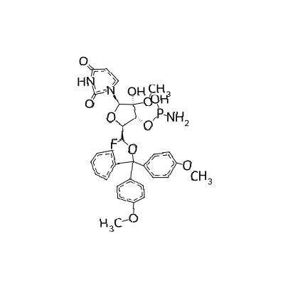 COc1ccc(C(OC(F)[C@H]2O[C@@H](n3ccc(=O)[nH]c3=O)[C@@](O)(OC)[C@@H]2OP(N)O)(c2ccccc2)c2ccc(OC)cc2)cc1